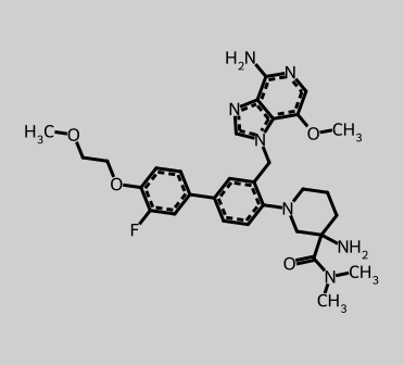 COCCOc1ccc(-c2ccc(N3CCCC(N)(C(=O)N(C)C)C3)c(Cn3cnc4c(N)ncc(OC)c43)c2)cc1F